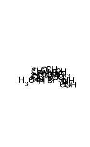 Cc1cc(C)c(CNC(=O)c2cc(Br)c3c(c2C)OC(C)([C@@H]2CC[C@@H](NC(=O)O)CO2)O3)c(=O)[nH]1